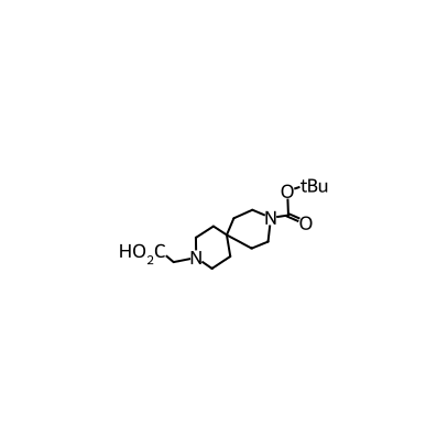 CC(C)(C)OC(=O)N1CCC2(CCN(CC(=O)O)CC2)CC1